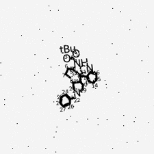 CC(C)(C)OC(=O)N[C@@H]1CCC[C@H]1[C@](C#N)(c1ccccc1)C1CCN(Cc2ccccc2)CC1